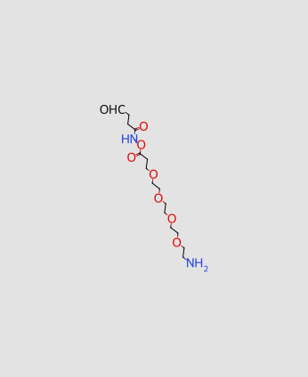 NCCOCCOCCOCCOCCC(=O)ONC(=O)CCC=O